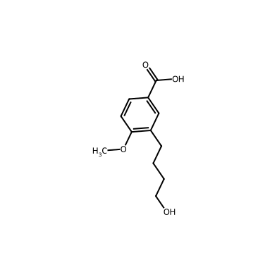 COc1ccc(C(=O)O)cc1CCCCO